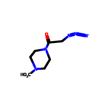 [N-]=[N+]=NCC(=O)N1CCN(C(=O)O)CC1